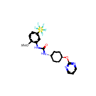 COc1ccc(S(F)(F)(F)(F)F)cc1NC(=O)N[C@H]1CC[C@H](Oc2ncccn2)CC1